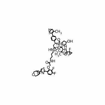 Cc1cnsc1-c1ccc([C@H](CC(=O)NCCCCNC(=O)COc2c(-c3nc(N4C5CCC4COC5)cs3)ccc(F)c2F)NC(=O)[C@@H]2C[C@@H](O)CN2C(=O)[C@@H](NC(=O)C2(F)CC2)C(C)(C)C)cc1